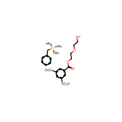 CCCC[P+](CCCC)(CCCC)Cc1ccccc1.O=C([O-])c1cc(C(=O)OCCOCCO)cc(S(=O)(=O)O)c1